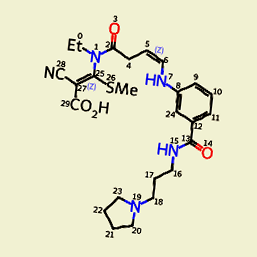 CCN(C(=O)C/C=C\Nc1cccc(C(=O)NCCCN2CCCC2)c1)/C(SC)=C(\C#N)C(=O)O